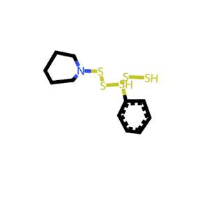 SS[SH](SSN1CCCCC1)c1ccccc1